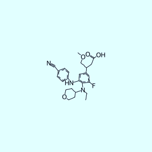 CCN(c1c(F)cc(C(COC)CC(=O)O)cc1Nc1ccc(C#N)cc1)C1CCOCC1